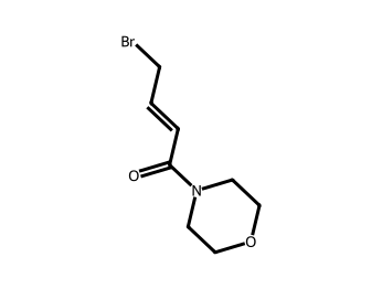 O=C(C=CCBr)N1CCOCC1